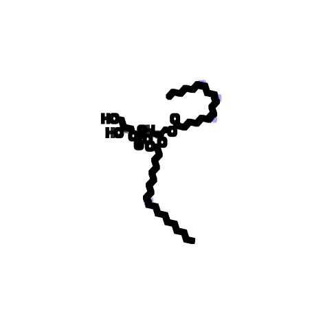 CCCCC/C=C\C/C=C\C/C=C\CCCCC(=O)OC[C@H](COP(=O)(O)OC[C@@H](O)CO)OC(=O)CCCCCCC/C=C\CCCCCCCCC